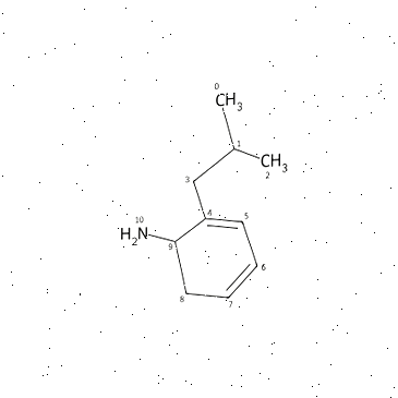 CC(C)CC1=CC=CCC1N